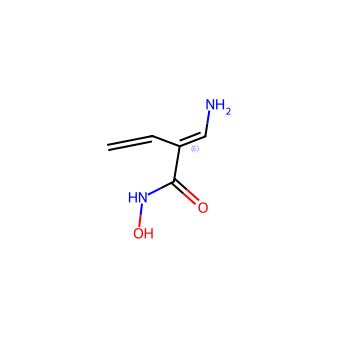 C=C/C(=C\N)C(=O)NO